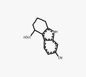 CCCCCCCCC1CCCc2[nH]c3cc(C#N)ccc3c21